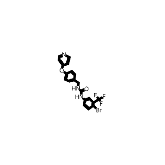 O=C(NCc1ccc(Oc2ccncc2)cc1)Nc1ccc(Br)c(C(F)(F)F)c1